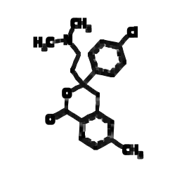 Cc1ccc2c(c1)CC(CCN(C)C)(c1ccc(Cl)cc1)OC2=O